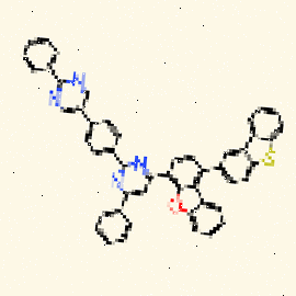 c1ccc(-c2cc(-c3ccc(-c4ccc5sc6ccccc6c5c4)c4c3oc3ccccc34)nc(-c3ccc(-c4cnc(-c5ccccc5)nc4)cc3)n2)cc1